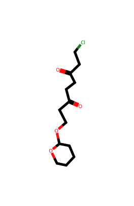 O=C(CCCl)CCC(=O)CCOC1CCCCO1